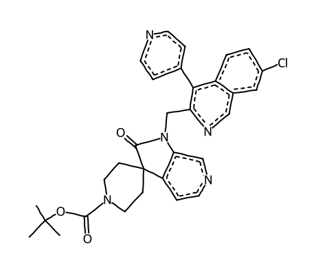 CC(C)(C)OC(=O)N1CCC2(CC1)C(=O)N(Cc1ncc3cc(Cl)ccc3c1-c1ccncc1)c1cnccc12